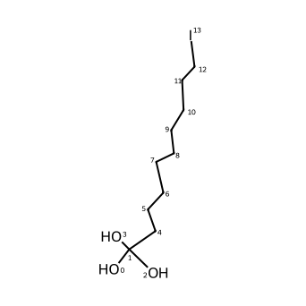 OC(O)(O)CCCCCCCCCI